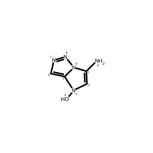 Nc1cn(O)c2cnnn12